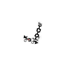 Cn1cc(-c2ccc(-c3ccc(C4=NC5(CC5)C(=O)N4C[C@@H]4CCN(C(=O)C5(C)CC5)C4)c(F)c3)cc2)cn1